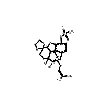 CC(C)=CCN1CC[C@]23c4c5ccc(OS(C)(=O)=O)c4OC2C2(CCC3(O)[C@H]1C5)OCCO2